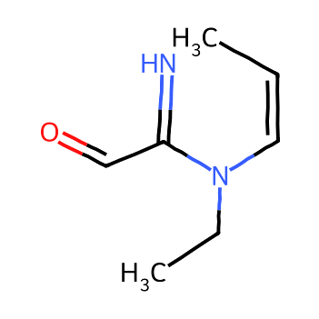 C/C=C\N(CC)C(=N)C=O